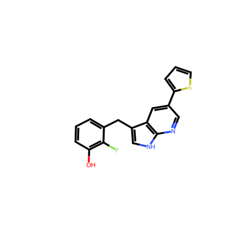 Oc1cccc(Cc2c[nH]c3ncc(-c4cccs4)cc23)c1F